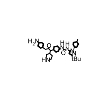 Cc1ccc(-n2nc(C(C)(C)C)cc2NC(=O)Nc2ccc(C(C(=O)Cc3ccc(N)cc3)C3CCNCC3)cc2)cc1